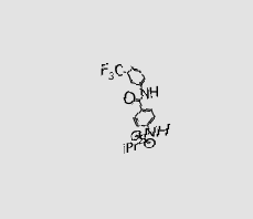 CC(C)S(=O)(=O)Nc1ccc(C(=O)Nc2cccc(C(F)(F)F)c2)cc1